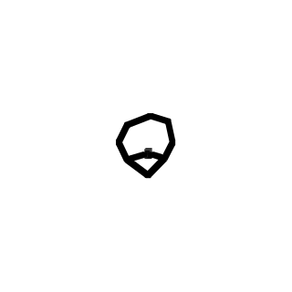 C1CCC2CC(CC1)S2